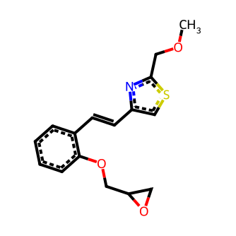 COCc1nc(C=Cc2ccccc2OCC2CO2)cs1